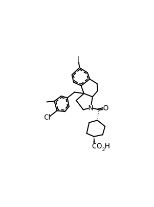 Cc1cc(CC23CCN(C(=O)[C@H]4CC[C@H](C(=O)O)CC4)C2CCc2cc(I)ccc23)ccc1Cl